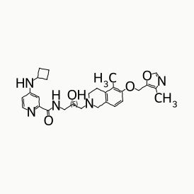 Cc1ncoc1COc1ccc2c(c1C)CCN(C[C@@H](O)CNC(=O)c1cc(NC3CCC3)ccn1)C2